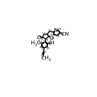 CC#Cc1cc(C)c(C2C(=O)CC(Cc3ccc(C#N)cn3)C2=O)c(CC)c1